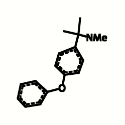 CNC(C)(C)c1ccc(Oc2ccccc2)cc1